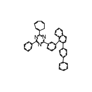 C1=CC=C(c2nc(-c3ccccc3)nc(-c3cccc(-c4c(-c5ccc(-c6ccccc6)cc5)ccc5ccccc45)c3)n2)CC=C1